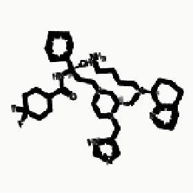 NCCCCN(C[C@H]1CN(CC[C@@](O)(NC(=O)C2CCC(F)(F)CC2)c2ccccc2)CCN1Cc1cnc[nH]1)[C@H]1CCCc2cccnc21